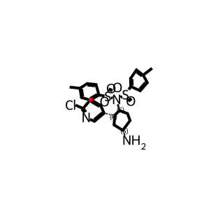 Cc1ccc(S(=O)(=O)N([C@H]2CC[C@H](N)C[C@@H]2c2ccc(Cl)nc2)S(=O)(=O)c2ccc(C)cc2)cc1